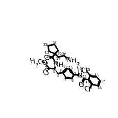 COC(=O)[C@H](Cc1ccc(NC(=O)c2c(Cl)cccc2Cl)cc1)NC(=O)C1(CCN)CCCC1